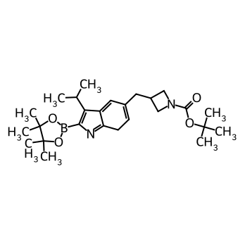 CC(C)C1=C(B2OC(C)(C)C(C)(C)O2)N=C2CC=C(CC3CN(C(=O)OC(C)(C)C)C3)C=C21